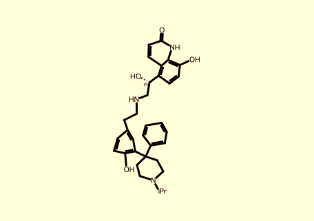 CC(C)N1CCC(c2ccccc2)(c2cc(CCNC[C@H](O)c3ccc(O)c4[nH]c(=O)ccc34)ccc2O)CC1